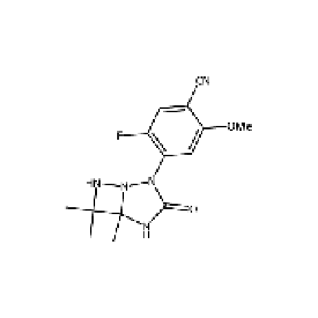 COc1cc(N2C(=O)NC3(C)N2NC3(C)C)c(F)cc1C#N